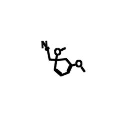 COC1=CC=CC(CC#N)(OC)C1